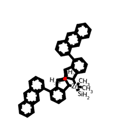 CC1=Cc2c(-c3cccc4cc5ccccc5cc34)cccc2[CH]1[Zr]([CH3])([CH3])(=[SiH2])[CH]1C(C)=Cc2c(-c3cccc4cc5ccccc5cc34)cccc21